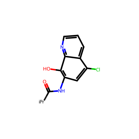 CC(C)C(=O)Nc1cc(Cl)c2cccnc2c1O